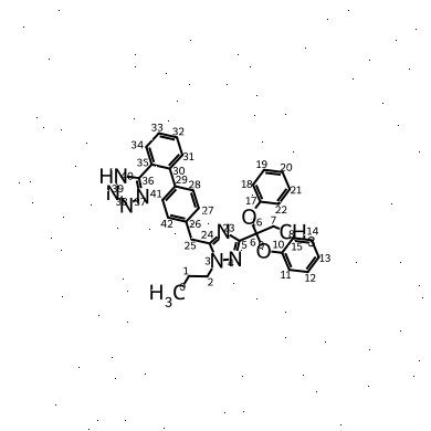 CCCn1nc(C(CC)(Oc2ccccc2)Oc2ccccc2)nc1Cc1ccc(-c2ccccc2-c2nnn[nH]2)cc1